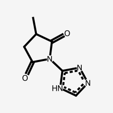 CC1CC(=O)N(c2nnc[nH]2)C1=O